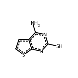 Nc1nc(S)nc2sccc12